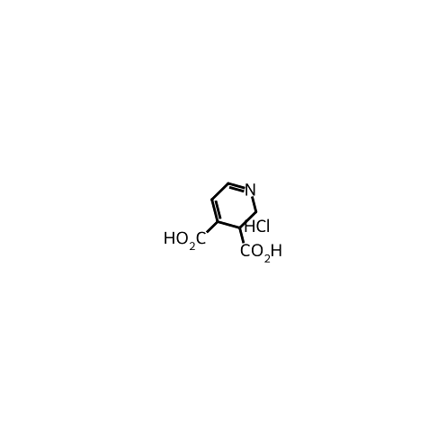 Cl.O=C(O)C1=CC=NCC1C(=O)O